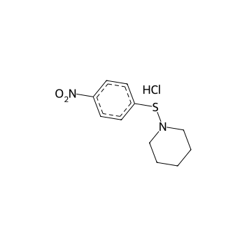 Cl.O=[N+]([O-])c1ccc(SN2CCCCC2)cc1